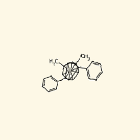 C[C]12[CH]3[CH]4[C]5(c6ccccc6)[CH]1[Ni]34251678[CH]2[CH]1[C]6(c1ccccc1)[CH]7[C]28C